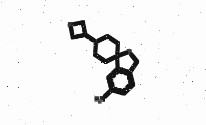 Nc1ccc2c(c1)C1(CCN(C3COC3)CC1)OC2